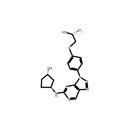 O[C@H]1CC[C@H](Nc2ncc3nnn(-c4ccc(OC[C@H](O)C(F)(F)F)cc4)c3n2)C1